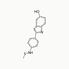 CSNc1ccc(-c2nc3ccc(O)cc3s2)cc1